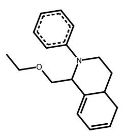 CCOCC1C2=CC=CCC2CCN1c1ccccc1